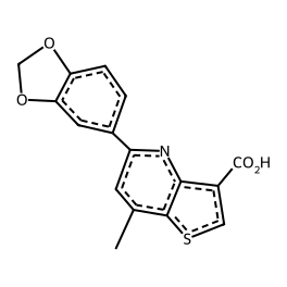 Cc1cc(-c2ccc3c(c2)OCO3)nc2c(C(=O)O)csc12